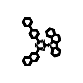 c1ccc(-c2ccc(-c3nc(-c4ccc5ccccc5c4)nc(-n4c5ccccc5c5ccc6ccccc6c54)n3)cc2)cc1